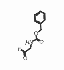 O=C(F)CNC(=O)OCc1ccccc1